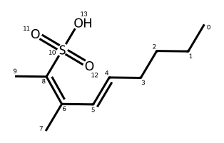 CCCCC=CC(C)=C(C)S(=O)(=O)O